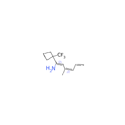 C=C/C=C(C)\C=C(/N)C1(C(F)(F)F)CCC1